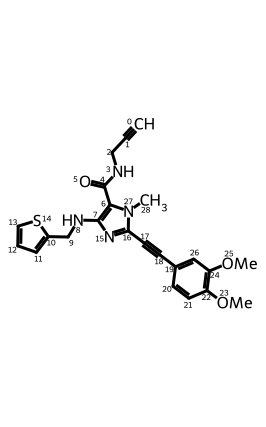 C#CCNC(=O)c1c(NCc2cccs2)nc(C#Cc2ccc(OC)c(OC)c2)n1C